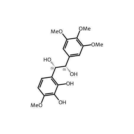 COc1ccc([C@H](O)[C@@H](O)c2cc(OC)c(OC)c(OC)c2)c(O)c1O